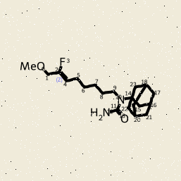 COC/C(F)=C/CCCCCN(C(N)=O)C12CC3CC(CC(C3)C1)C2